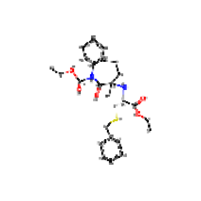 CCOC(=O)[C@H](CSCc1ccccc1)NC1(C)CCc2ccccc2N(C(=O)OCC)C1=O